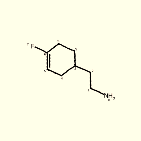 NCCC1CC=C(F)CC1